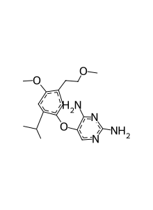 COCCc1cc(Oc2cnc(N)nc2N)c(C(C)C)cc1OC